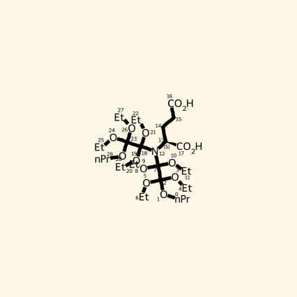 CCCOC(OCC)(OCC)C(OCC)(OCC)N([C@@H](CCC(=O)O)C(=O)O)C(OCC)(OCC)C(OCC)(OCC)OCCC